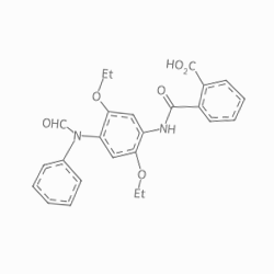 CCOc1cc(N(C=O)c2ccccc2)c(OCC)cc1NC(=O)c1ccccc1C(=O)O